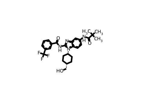 CC(C)(C)C(=O)Nc1ccc2c(c1)nc(NC(=O)c1cccc(C(F)(F)F)c1)n2[C@H]1CC[C@@H](CO)CC1